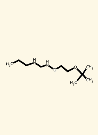 CCCNCNOCCOC(C)(C)C